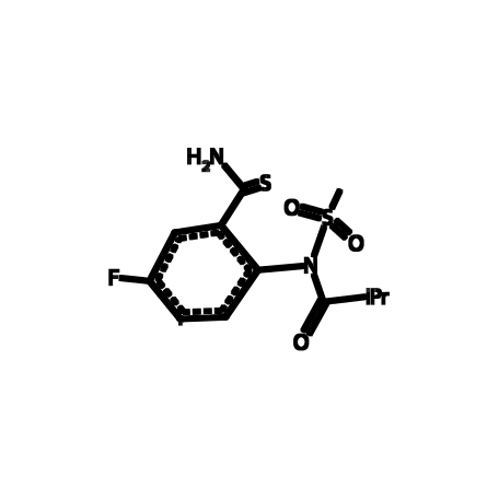 CC(C)C(=O)N(c1c[c]c(F)cc1C(N)=S)S(C)(=O)=O